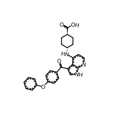 O=C(c1ccc(Oc2ccccc2)cc1)c1c[nH]c2nccc(N[C@H]3CC[C@H](C(=O)O)CC3)c12